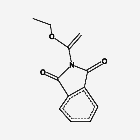 C=C(OCC)N1C(=O)c2ccccc2C1=O